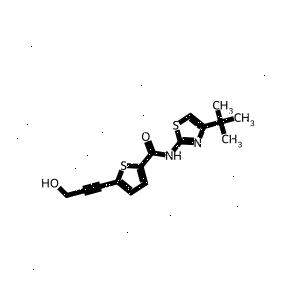 CC(C)(C)c1csc(NC(=O)c2ccc(C#CCO)s2)n1